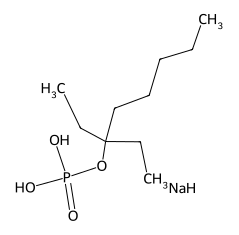 CCCCCC(CC)(CC)OP(=O)(O)O.[NaH]